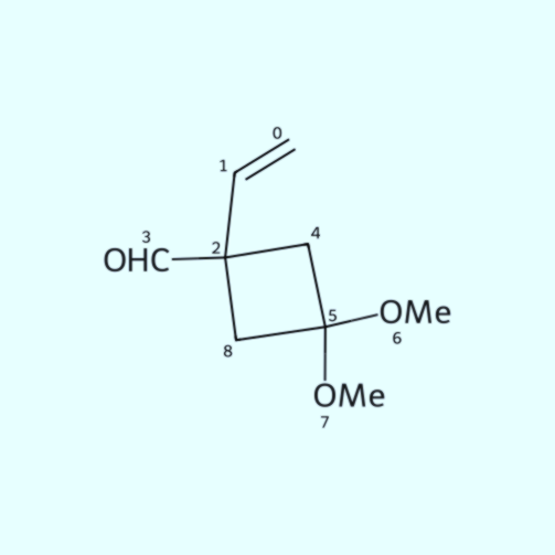 C=CC1(C=O)CC(OC)(OC)C1